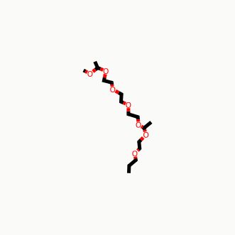 CCCOCCOC(C)OCCOCCOCCOC(C)OC